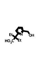 CCC(CC)(C(=O)O)c1cccc(CO)n1